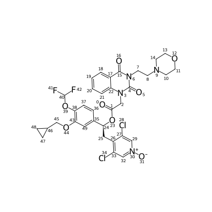 O=C(Cn1c(=O)n(CCN2CCOCC2)c(=O)c2ccccc21)O[C@@H](Cc1c(Cl)c[n+]([O-])cc1Cl)c1ccc(OC(F)F)c(OCC2CC2)c1